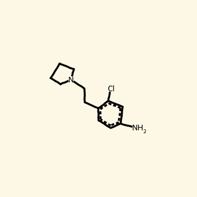 Nc1ccc(CCN2CCCC2)c(Cl)c1